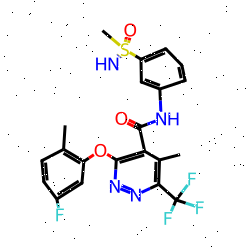 Cc1ccc(F)cc1Oc1nnc(C(F)(F)F)c(C)c1C(=O)Nc1cccc(S(C)(=N)=O)c1